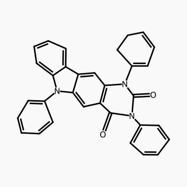 O=c1c2cc3c(cc2n(C2=CC=CCC2)c(=O)n1-c1ccccc1)c1ccccc1n3-c1ccccc1